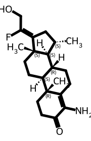 C[C@H]1CC(=C(F)CO)[C@@]2(C)CC[C@H]3[C@@H](CCC4=C(N)C(=O)CC[C@@]43C)[C@H]12